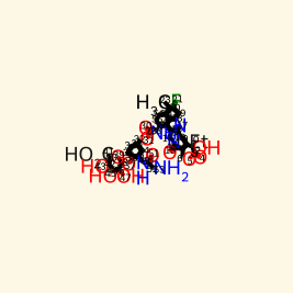 CC[C@@]1(O)C(=O)OCc2c1cc1n(c2=O)Cc2c-1nc1cc(F)c(C)c3c1c2[C@@H](NC(=O)OCc1ccc(O[C@@H]2OC(C(=O)O)[C@@H](O)[C@@H](O)C2O)c(NC(=O)CN)c1)CC3